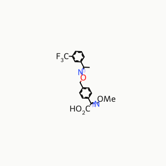 CO/N=C(/C(=O)O)c1ccc(CO/N=C(\C)c2cccc(C(F)(F)F)c2)cc1